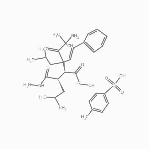 CC(C)C[C@@H](C(=O)NN)[C@H](C(=O)NO)C(/C=C/c1ccccc1)(CC(C)C)C(=O)C(C)(C)N.Cc1ccc(S(=O)(=O)O)cc1